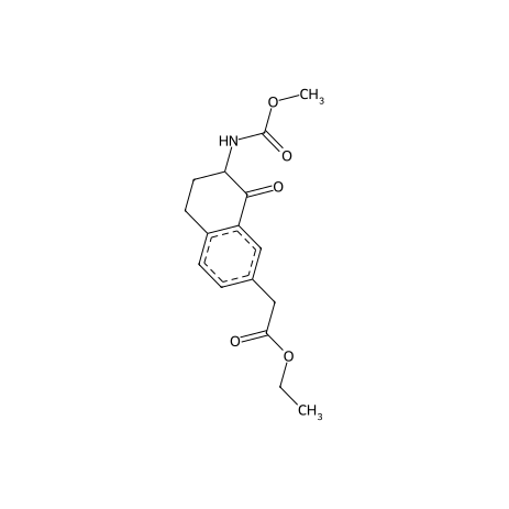 CCOC(=O)Cc1ccc2c(c1)C(=O)C(NC(=O)OC)CC2